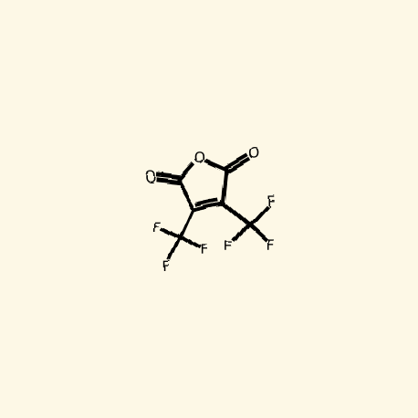 O=C1OC(=O)C(C(F)(F)F)=C1C(F)(F)F